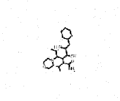 CCC(C(C(O)C(N)CC1CCCCC1)C(C(N)=O)C(C)C)N1CCOCC1